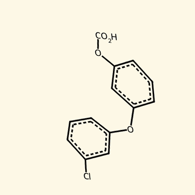 O=C(O)Oc1cccc(Oc2cccc(Cl)c2)c1